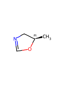 C[C@@H]1CN=CO1